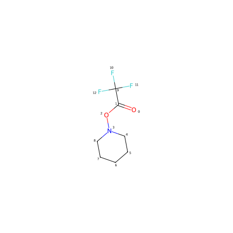 O=C(ON1CCCCC1)C(F)(F)F